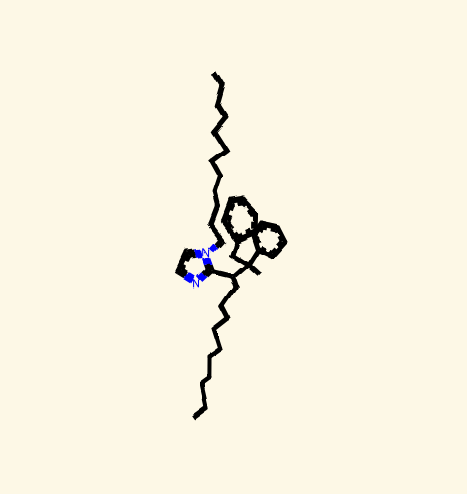 CCCCCCCCCCCCn1ccnc1C(CCCCCCCCCC)C(C)(Cc1ccccc1)c1ccccc1